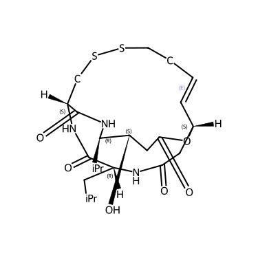 CC(C)C[C@H]1NC(=O)C[C@H]2/C=C/CCSSC[C@@H](NC1=O)C(=O)N[C@H](C(C)C)[C@@H](O)CC(=O)O2